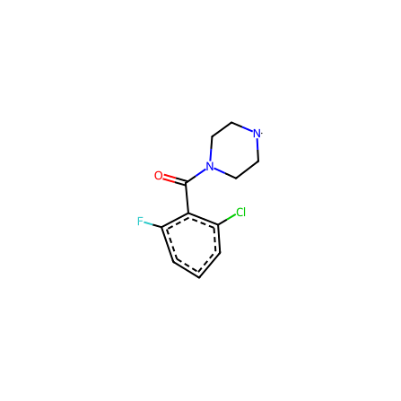 O=C(c1c(F)cccc1Cl)N1CC[N]CC1